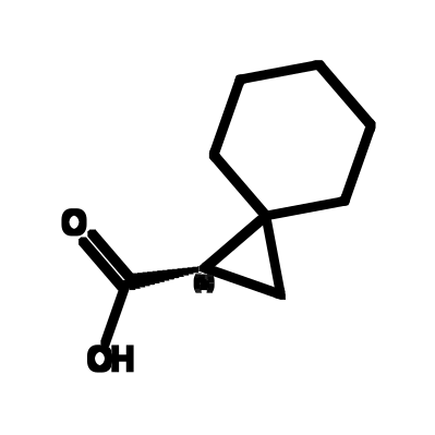 O=C(O)[C@H]1CC12CCCCC2